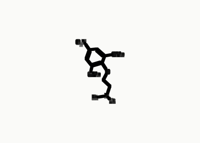 CCN(CC)CCOc1c(OC)cc([N+](=O)[O-])cc1OC